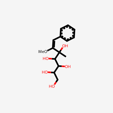 COC(=Cc1ccccc1)C(C)(O)C(O)C(O)C(O)CO